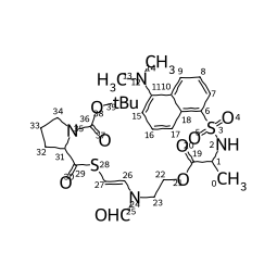 CC(NS(=O)(=O)c1cccc2c(N(C)C)cccc12)C(=O)OCCN(C=O)/C=C/SC(=O)C1CCCN1C(=O)OC(C)(C)C